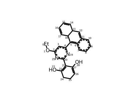 CCOc1cc(C2=c3ccccc3=CC3C=CC=CC23)nc(C2=C(O)CCC=C2O)n1